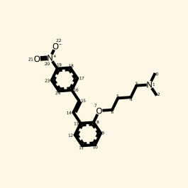 CN(C)CCCCOc1ccccc1/C=C/c1ccc([N+](=O)[O-])cc1